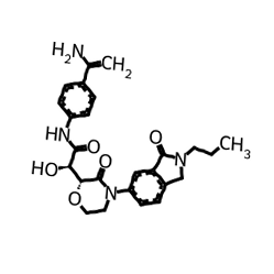 C=C(N)c1ccc(NC(=O)[C@H](O)[C@H]2OCCN(c3ccc4c(c3)C(=O)N(CCC)C4)C2=O)cc1